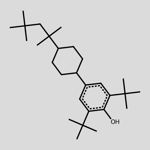 CC(C)(C)CC(C)(C)C1CCC(c2cc(C(C)(C)C)c(O)c(C(C)(C)C)c2)CC1